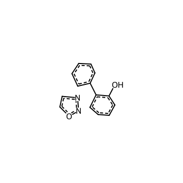 Oc1ccccc1-c1ccccc1.c1conn1